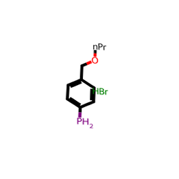 Br.CCCOCc1ccc(P)cc1